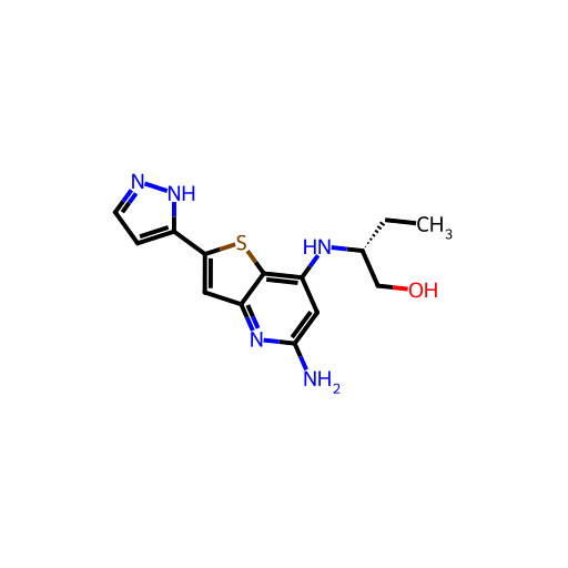 CC[C@H](CO)Nc1cc(N)nc2cc(-c3ccn[nH]3)sc12